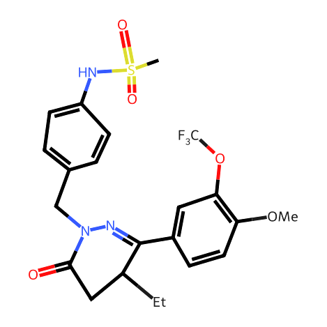 CCC1CC(=O)N(Cc2ccc(NS(C)(=O)=O)cc2)N=C1c1ccc(OC)c(OC(F)(F)F)c1